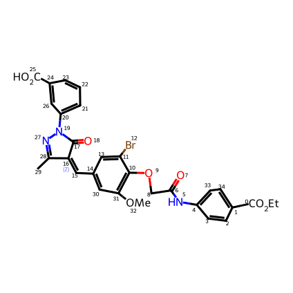 CCOC(=O)c1ccc(NC(=O)COc2c(Br)cc(/C=C3\C(=O)N(c4cccc(C(=O)O)c4)N=C3C)cc2OC)cc1